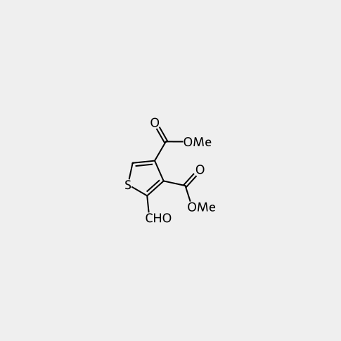 COC(=O)c1csc(C=O)c1C(=O)OC